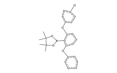 CC1(C)OB(c2c(Oc3ccccc3)cccc2Oc2ccc(Cl)cc2)OC1(C)C